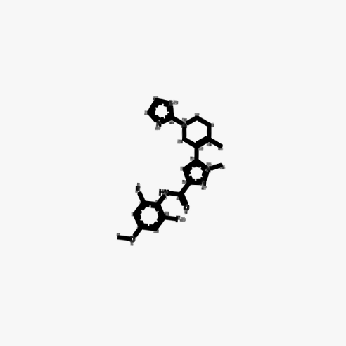 COc1cc(F)c(NC(=O)c2cc(C3=C(C)CCN(c4nccs4)C3)n(C)n2)c(F)c1